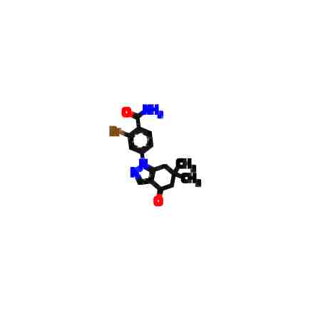 CC1(C)CC(=O)c2cnn(-c3ccc(C(N)=O)c(Br)c3)c2C1